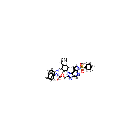 N#CCC1CCC(n2c(COC(=O)NC34CC5CC(CC(C5)C3)C4)nc3cnc4c(ccn4S(=O)(=O)c4ccccc4)c32)CC1